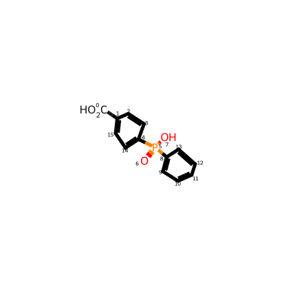 O=C(O)c1ccc(P(=O)(O)c2ccccc2)cc1